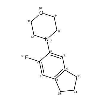 Fc1cc2c(cc1N1CCOCC1)CCC2